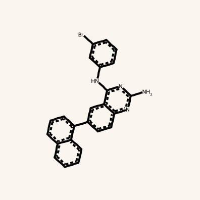 Nc1nc(Nc2cccc(Br)c2)c2cc(-c3cccc4ccccc34)ccc2n1